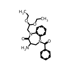 CCOC(CN1C(=O)C(N)CN(C(=O)c2ccccc2)c2ccccc21)OCC